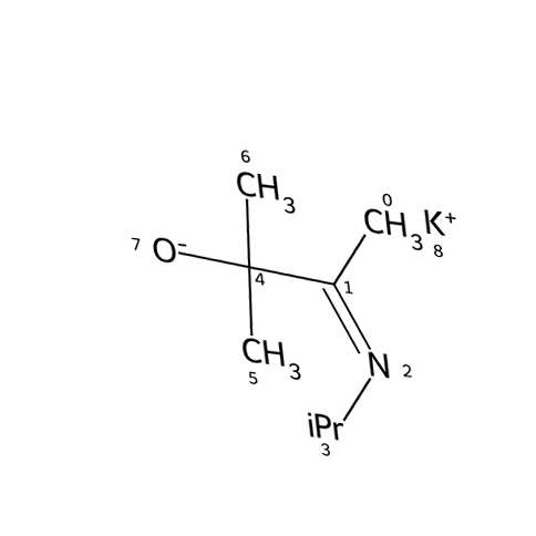 C/C(=N/C(C)C)C(C)(C)[O-].[K+]